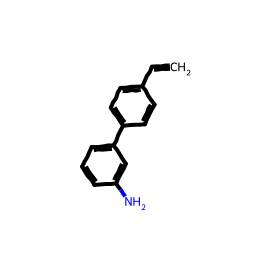 C=Cc1ccc(-c2cccc(N)c2)cc1